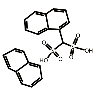 O=S(=O)(O)C(c1cccc2ccccc12)S(=O)(=O)O.c1ccc2ccccc2c1